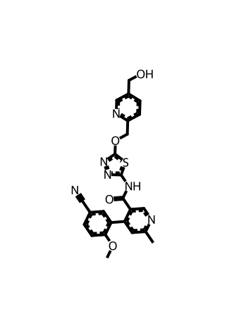 COc1ccc(C#N)cc1-c1cc(C)ncc1C(=O)Nc1nnc(OCc2ccc(CO)cn2)s1